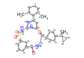 Cc1cccc(C)c1-c1cc2nc(n1)NS(=O)(=O)c1cccc(c1)C(=O)NCC(c1ccc(C3(C)CC3)cc1)O2